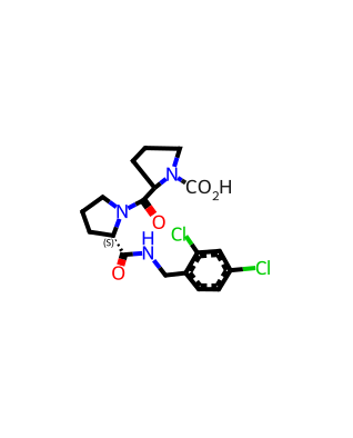 O=C(NCc1ccc(Cl)cc1Cl)[C@@H]1CCCN1C(=O)C1CCCN1C(=O)O